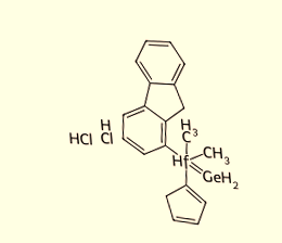 Cl.Cl.[CH3][Hf]([CH3])(=[GeH2])([C]1=CC=CC1)[c]1cccc2c1Cc1ccccc1-2